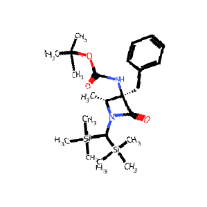 C[C@H]1N(C([Si](C)(C)C)[Si](C)(C)C)C(=O)[C@]1(Cc1ccccc1)NC(=O)OC(C)(C)C